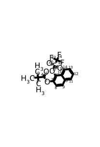 CC(C)(C)C(=O)Oc1ccc2ccccc2c1OS(=O)(=O)C(F)(F)F